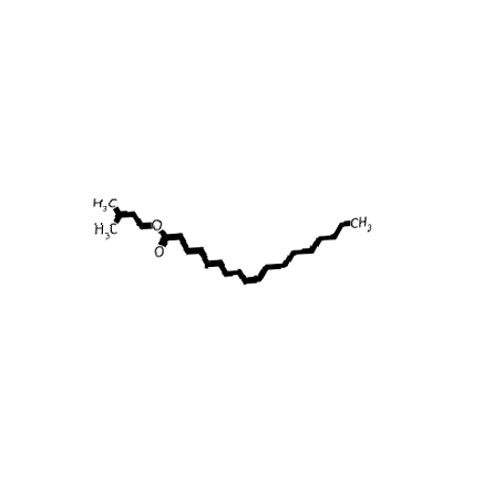 CCCCCCCC/C=C\CCCCCCCC(=O)OCCC(C)C